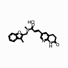 Cc1c(CN(C)C(=O)/C=C/c2cnc3c(c2)CCC(=O)N3)oc2ccccc12.Cl